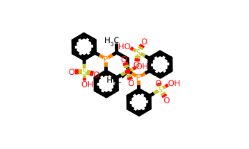 CC(CC(C)P(c1ccccc1S(=O)(=O)O)c1ccccc1S(=O)(=O)O)P(c1ccccc1S(=O)(=O)O)c1ccccc1S(=O)(=O)O